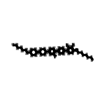 CCCCCCCOc1ccc(-c2ccc(-c3ccc(C4CCC(C5CCC(CCCCCCC)CC5)CC4)cc3F)cc2)c(F)c1F